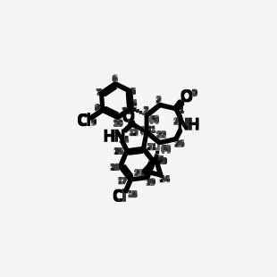 O=C1C[C@@H](c2cccc(Cl)c2)[C@]2(C(=O)Nc3cc(Cl)ccc32)[C@@H](C2CC2)CN1